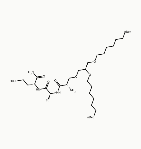 CCCCCCCCCCCCCCCCOC[C@H](CSC[C@H](N)C(=O)N[C@@H](CC)C(=O)N[C@H](CCC(=O)O)C(N)=O)OCCCCCCCCCCCCCCCC